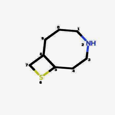 C1CNCCC2SCC2C1